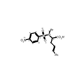 CC(=O)C=CCC(C(=O)O)N(C(C)C)S(=O)(=O)c1ccc([N+](=O)[O-])cc1